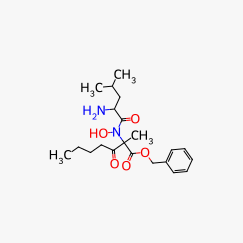 CCCCC(=O)C(C)(C(=O)OCc1ccccc1)N(O)C(=O)C(N)CC(C)C